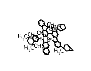 Cc1cc2c(cc1N1c3cc4ccccc4cc3B3c4c1cc1c(c4-c4cc(C5(C)CC6CCC(C5)C6C)cc5c6cc(C7(C)CC=C8CC8C7)ccc6n3c45)C(C)(C)c3ccccc3-1)C(C)(C)CCC2(C)C